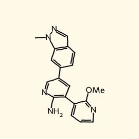 COc1ncccc1-c1cc(-c2ccc3cnn(C)c3c2)cnc1N